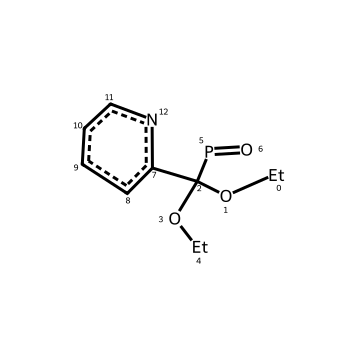 CCOC(OCC)(P=O)c1ccccn1